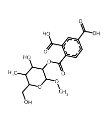 COC1OC(CO)C(C)C(O)C1OC(=O)c1ccc(C(=O)O)cc1C(=O)O